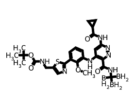 BC(B)(B)NC(=O)c1nnc(NC(=O)C2CC2)cc1Nc1cccc(-c2ncc(CNC(=O)OC(C)(C)C)s2)c1OC